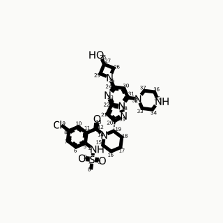 CS(=O)(=O)Nc1ccc(Cl)cc1C(=O)N1CCCC[C@H]1c1cc2nc(N3CC(O)C3)cc(N3CCNCC3)n2n1